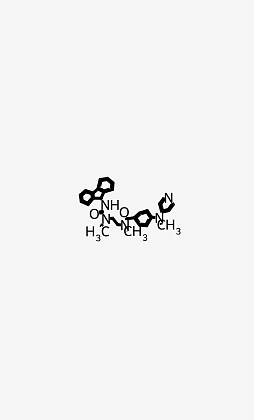 CCN(CCN(C)C(=O)c1ccc(N(C)c2ccncc2)cc1)C(=O)NC1c2ccccc2-c2ccccc21